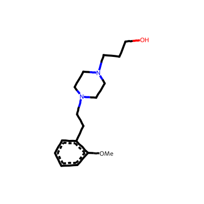 COc1ccccc1CCN1CCN(CCCO)CC1